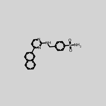 NS(=O)(=O)c1ccc(CNc2nccc(-c3ccc4ccccc4c3)n2)cc1